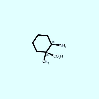 C[C@]1(C(=O)O)CCCC[C@H]1N